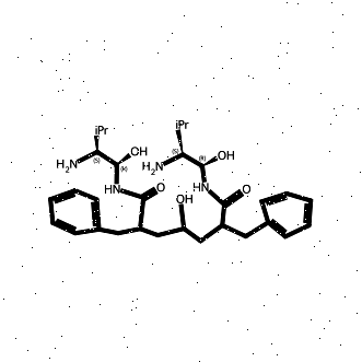 CC(C)[C@H](N)[C@@H](O)NC(=O)C(Cc1ccccc1)CC(O)CC(Cc1ccccc1)C(=O)N[C@H](O)[C@@H](N)C(C)C